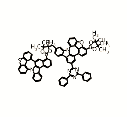 CC1(C)OB(c2ccc3c4cc(-c5nc(-c6ccccc6)nc(-c6ccccc6)n5)cc5c6ccc(CC7(C)OB(c8cccc9c8cc8c%10cccc%11sc%12cccc(c%12c%11%10)n%10c%11ccccc%11c9c8%10)OC7(C)C)cc6n(c6cccc7oc2c3c76)c45)OC1(C)C